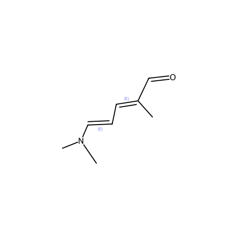 C/C(C=O)=C\C=C\N(C)C